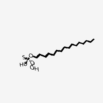 CCCCCCCCCCCCCCCCOP(O)(=S)OO